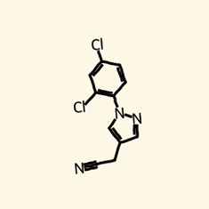 N#CCc1cnn(-c2ccc(Cl)cc2Cl)c1